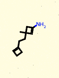 CC1(CCC2=CCC2)C=C(N)C1